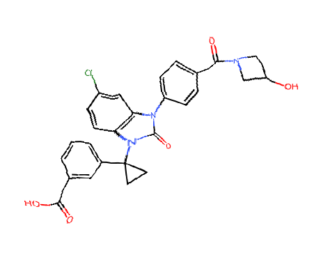 O=C(O)c1cccc(C2(n3c(=O)n(-c4ccc(C(=O)N5CC(O)C5)cc4)c4cc(Cl)ccc43)CC2)c1